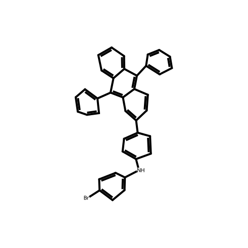 Brc1ccc(Nc2ccc(-c3ccc4c(-c5ccccc5)c5ccccc5c(-c5ccccc5)c4c3)cc2)cc1